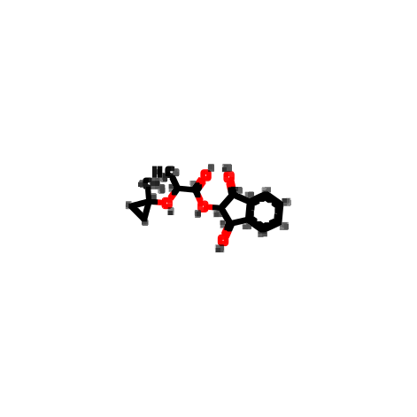 CC(OC1(C)CC1)C(=O)OC1C(=O)c2ccccc2C1=O